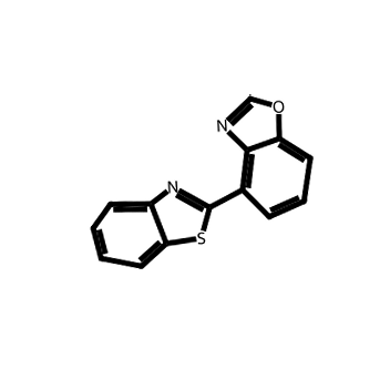 [c]1nc2c(-c3nc4ccccc4s3)cccc2o1